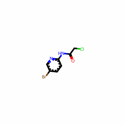 O=C(CCl)Nc1ccc(Br)cn1